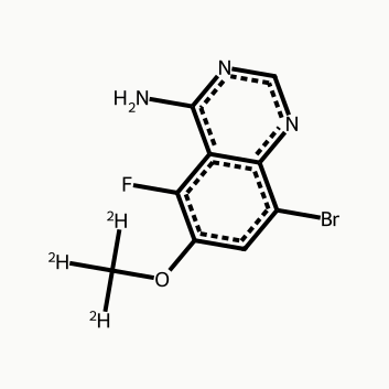 [2H]C([2H])([2H])Oc1cc(Br)c2ncnc(N)c2c1F